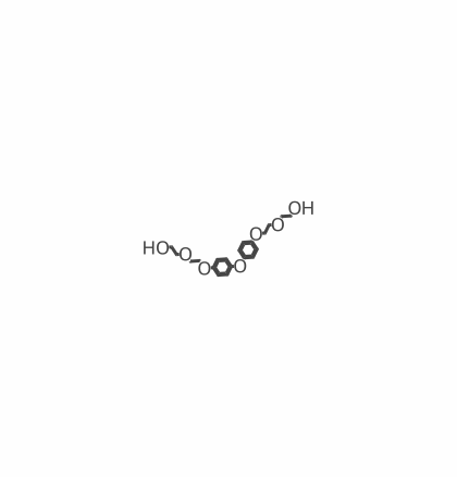 OCCOCCOc1ccc(Oc2ccc(OCCOCCO)cc2)cc1